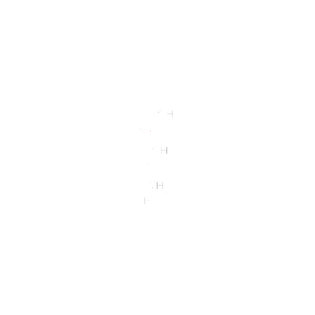 [2H][SiH2]O[SiH2]O[SiH3]